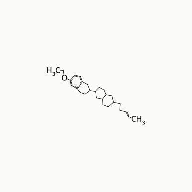 CC=CCCC1CCC2CC(C3CCc4cc(OCC)ccc4C3)CCC2C1